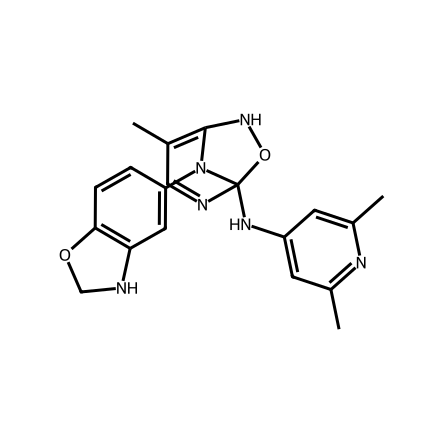 CC1=C2NOC(Nc3cc(C)nc(C)c3)(N=C1)N2c1ccc2c(c1)NCO2